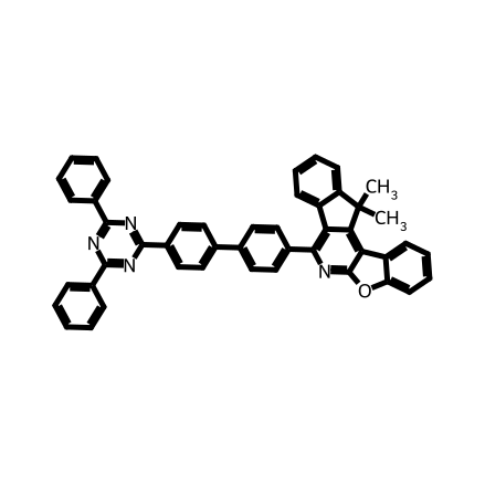 CC1(C)c2ccccc2-c2c(-c3ccc(-c4ccc(-c5nc(-c6ccccc6)nc(-c6ccccc6)n5)cc4)cc3)nc3oc4ccccc4c3c21